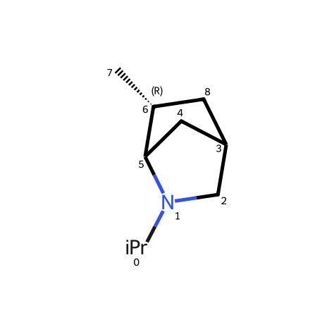 CC(C)N1CC2CC1[C@H](C)C2